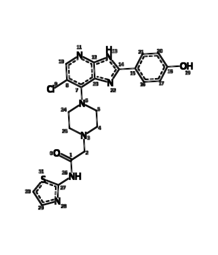 O=C(CN1CCN(c2c(Cl)cnc3[nH]c(-c4ccc(O)cc4)nc23)CC1)Nc1nccs1